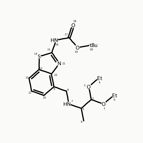 CCOC(OCC)C(C)NCc1cccc2sc(NC(=O)OC(C)(C)C)nc12